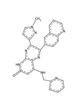 Cn1ccc(-c2nc3[nH]c(=O)cc(NCc4ccccn4)c3nc2-c2ccc3ncccc3c2)n1